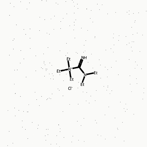 CCN(CC)C(=N)[N+](CC)(CC)CC.[Cl-]